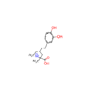 CCC(CCc1ccc(O)c(O)c1)CC(C)(N)C(=O)O